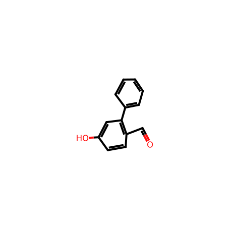 O=Cc1ccc(O)cc1-c1ccccc1